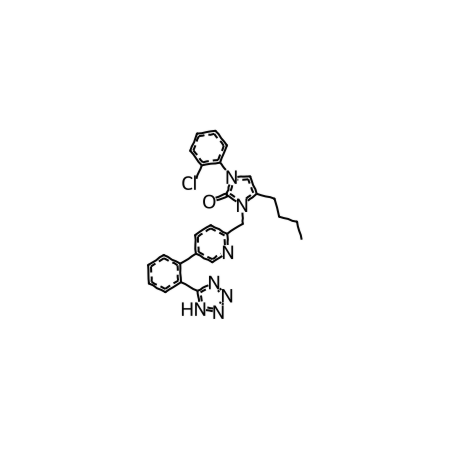 CCCCc1cn(-c2ccccc2Cl)c(=O)n1Cc1ccc(-c2ccccc2-c2nnn[nH]2)cn1